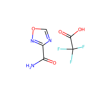 NC(=O)c1ncon1.O=C(O)C(F)(F)F